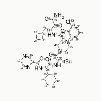 CC(C)(C)[C@H](NC(=O)[C@@H](NC(=O)c1cnccn1)C1CCCCC1)C(=O)N1CCN(c2cccc(Cl)c2)[C@@H](C(=O)NC(CC2CCC2)C(=O)C(N)=O)C1